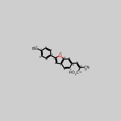 CC(C)(C)c1ccc(-c2cc3ccc(C=C(C#N)C(=O)O)cc3o2)cc1